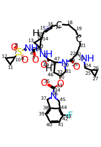 O=C1N[C@]2(C(=O)NS(=O)(=O)C3CC3)C[C@H]2/C=C\CCCCC[C@H](NCC2CC2)C(=O)N2C[C@H](OC(=O)N3Cc4cccc(F)c4C3)C[C@@H]12